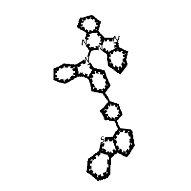 c1ccc2c(c1)nc(-n1c3ccccc3c3cc(-c4ccc(-c5cccc6c5sc5ccccc56)cc4)ccc31)n1c3ccccc3nc21